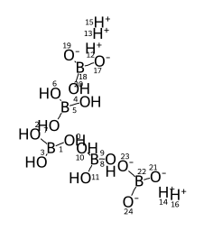 OB(O)O.OB(O)O.OB(O)O.[H+].[H+].[H+].[H+].[H+].[O-]B([O-])O.[O-]B([O-])[O-]